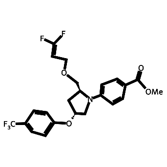 COC(=O)c1ccc(N2C[C@H](Oc3ccc(C(F)(F)F)cc3)C[C@H]2COCC=C(F)F)cc1